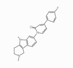 CN1CCc2c(c3ccc(-n4ccc(-c5ccc(F)cc5)cc4=O)cc3n2C)C1